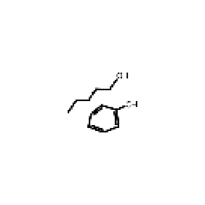 CCCCCO.Oc1ccccc1